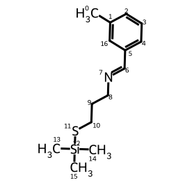 Cc1cccc(C=NCCCS[Si](C)(C)C)c1